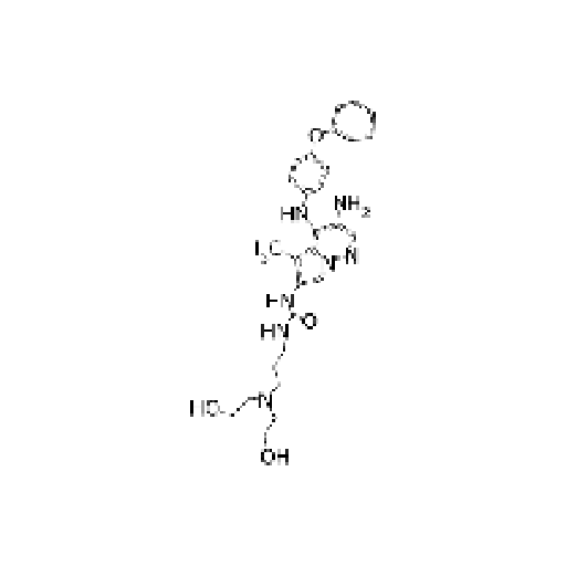 Cc1c(NC(=O)NCCCN(CCO)CCO)cn2ncc(N)c(Nc3ccc(Oc4ccccc4)cc3)c12